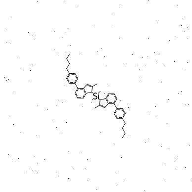 CCCCc1ccc(-c2cccc3c2C=C(C)C3[Si](C)(C)C2C(C)=Cc3c(-c4ccc(CCCC)cc4)cccc32)cc1